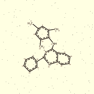 Cc1cc(C)c(Nc2nc(-c3ccccc3)nc3ccccc23)c(C)c1